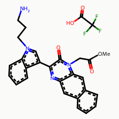 COC(=O)Cn1c(=O)c(-c2cn(CCCN)c3ccccc23)nc2cc3ccccc3cc21.O=C(O)C(F)(F)F